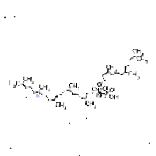 CC(C)=CCCC(C)=CCCC(C)=CCOP(=O)(OCC=C(C)CCC=C(C)CCC=C(C)CC/C=C(\C)CCC=C(C)C)OP(=O)(O)O